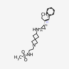 CC/C(=C\c1ccccc1)[C@@H]1C[C@H]1NC1CC2(C1)CN(CCNS(C)(=O)=O)C2